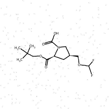 CC(C)(C)COC(=O)[C@@H]1C[C@H](COC(F)F)CN1C(=O)O